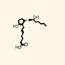 CCCCCC(O)C#C[C@H]1CCC(O)[C@@H]1CC=CCCCC(=O)O